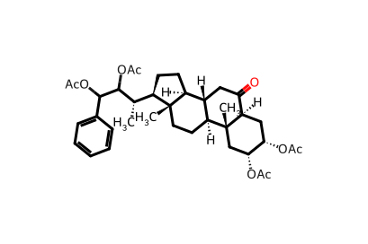 CC(=O)OC(c1ccccc1)C(OC(C)=O)[C@@H](C)[C@H]1CC[C@H]2[C@@H]3CC(=O)[C@H]4C[C@H](OC(C)=O)[C@H](OC(C)=O)C[C@]4(C)[C@H]3CC[C@]12C